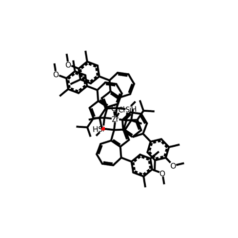 COc1c(C)cc(C2C=CC=CC3=C2C=C(C(C)C)[C]32[SiH](C)[C]3(C(C(C)C)=CC4=C3C=CC=CC4c3cc(C)c(OC)c(C)c3)[Zr]23([Cl])([Cl])[C]2(C(C(C)C)=CC4=C2C=CC=CC4c2cc(C)c(OC)c(C)c2)[SiH](C)[C]32C(C(C)C)=CC3=C2C=CC=CC3c2cc(C)c(OC)c(C)c2)cc1C